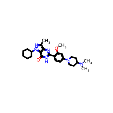 COc1cc(N2CCC(N(C)C)CC2)ccc1-c1nc2c(C)nn(C3CCCCC3)c2c(=O)[nH]1